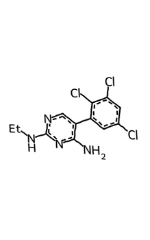 CCNc1ncc(-c2cc(Cl)cc(Cl)c2Cl)c(N)n1